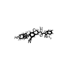 Cc1ccc2c(N)c(C(=O)N[C@H]3COc4cc(N5CC6CNCC(C5)C6(F)F)c(C#N)cc4C3)sc2n1